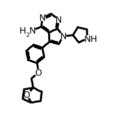 Nc1ncnc2c1c(-c1cccc(OCC34CCC(CC3)O4)c1)cn2C1CCNC1